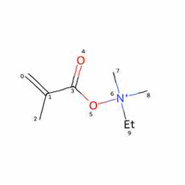 C=C(C)C(=O)O[N+](C)(C)CC